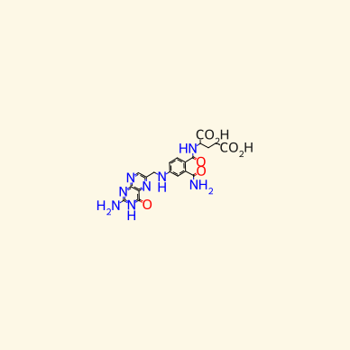 NC(=O)c1cc(NCc2cnc3nc(N)[nH]c(=O)c3n2)ccc1C(=O)NC(CCC(=O)O)C(=O)O